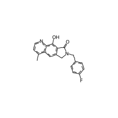 Cc1ccnc2c(O)c3c(cc12)CN(Cc1ccc(F)cc1)C3=O